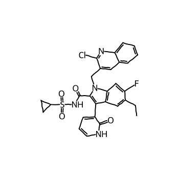 CCc1cc2c(-c3ccc[nH]c3=O)c(C(=O)NS(=O)(=O)C3CC3)n(Cc3cc4ccccc4nc3Cl)c2cc1F